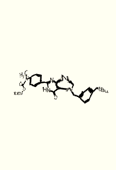 CN(C(=O)OC(C)(C)C)c1ccc(-c2nc3ncn(Cc4ccc(C(C)(C)C)cc4)c3c(=O)[nH]2)cc1